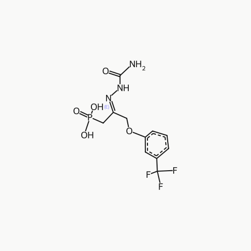 NC(=O)N/N=C(\COc1cccc(C(F)(F)F)c1)CP(=O)(O)O